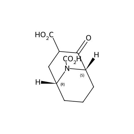 O=C(O)C1C[C@H]2CCC[C@@H](C1=O)N2C(=O)O